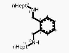 CCCCCCCNCc1ccccc1CNCCCCCCC